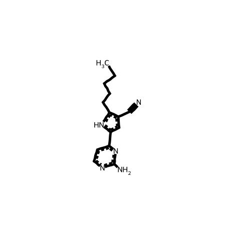 CCCCCc1[nH]c(-c2ccnc(N)n2)cc1C#N